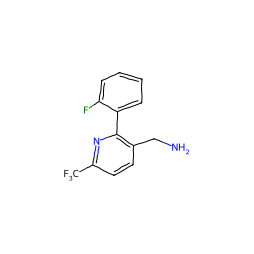 NCc1ccc(C(F)(F)F)nc1-c1ccccc1F